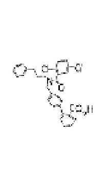 O=C(O)c1ccccc1-c1ccc(CN(CCCc2ccccc2)C(=O)c2cc(Cl)ccc2Cl)cc1